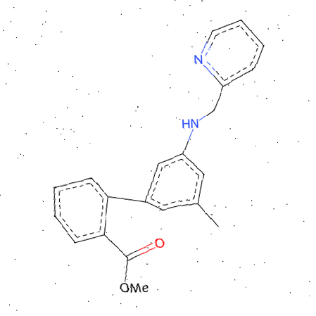 COC(=O)c1ccccc1-c1cc(C)cc(NCc2ccccn2)c1